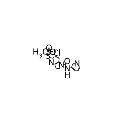 CS(=O)(=O)Sc1nc2c(cc1Cl)N(C(=O)Nc1cccnc1)CC2